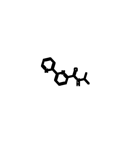 CC(C)NC(=O)c1cccc(-c2ccccn2)n1